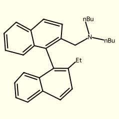 CCCCN(CCCC)Cc1ccc2ccccc2c1-c1c(CC)ccc2ccccc12